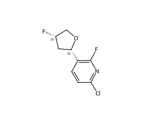 Fc1nc(Cl)ccc1[C@@H]1C[C@H](F)CO1